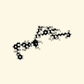 Cc1c(-c2ccc(N3CCc4cccc(C(=O)Nc5nc6ccccc6s5)c4C3)nc2C(=O)O)cnn1CC12CC3(C)CC(C)(C1)CC(OCCN(CCCS(=O)(=O)O)C(=O)OCc1ccc(N(C(N)=O)[C@@H](CCCN)C(=O)NC(=O)[C@@H](NC(=O)CCCCCN4C(=O)C=CC4=O)C(C)C)cc1)(C3)C2